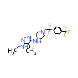 CCNc1ncnc(NC2CCN(CC(F)(F)c3ccc(C(F)(F)F)cc3)CC2)c1CC